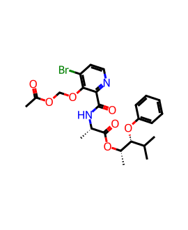 CC(=O)OCOc1c(Br)ccnc1C(=O)N[C@@H](C)C(=O)O[C@@H](C)[C@H](Oc1ccccc1)C(C)C